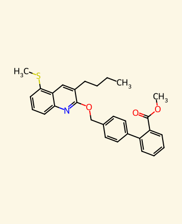 CCCCc1cc2c(SC)cccc2nc1OCc1ccc(-c2ccccc2C(=O)OC)cc1